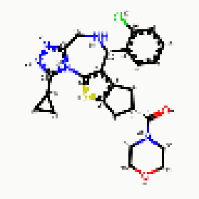 O=C([C@@H]1Cc2sc3c(c2C1)[C@H](c1ccccc1Cl)NCc1nnc(C2CC2)n1-3)N1CCOCC1